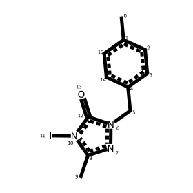 Cc1ccc(Cn2nc(C)n(I)c2=O)cc1